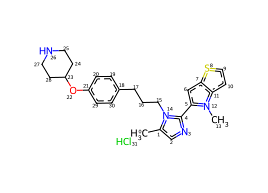 Cc1cnc(-c2cc3sccc3n2C)n1CCCc1ccc(OC2CCNCC2)cc1.Cl